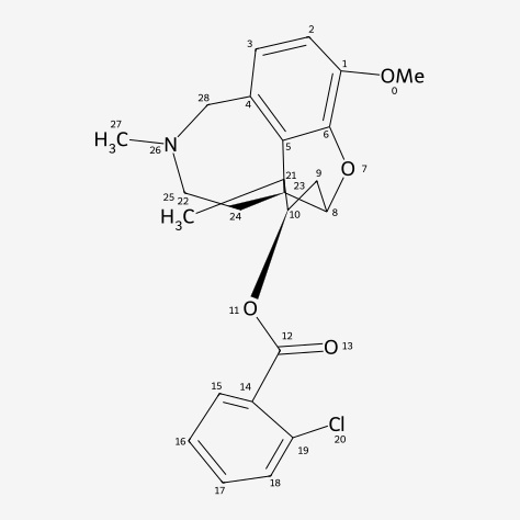 COc1ccc2c3c1OC1C[C@@H](OC(=O)c4ccccc4Cl)C(C)[C@@]31CCN(C)C2